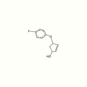 OC1C=CC(Oc2ccc(F)cc2)C1